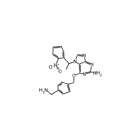 CC(c1ccccc1[N+](=O)[O-])n1cnc2nc(N)nc(OCc3ccc(CN)cc3)c21